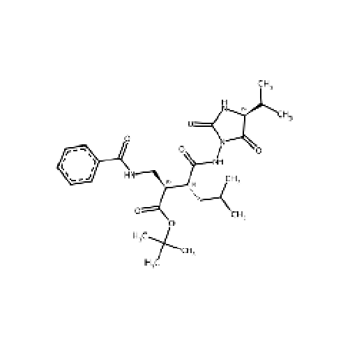 CC(C)C[C@@H](C(=O)NN1C(=O)N[C@@H](C(C)C)C1=O)[C@H](CNC(=O)c1ccccc1)C(=O)OC(C)(C)C